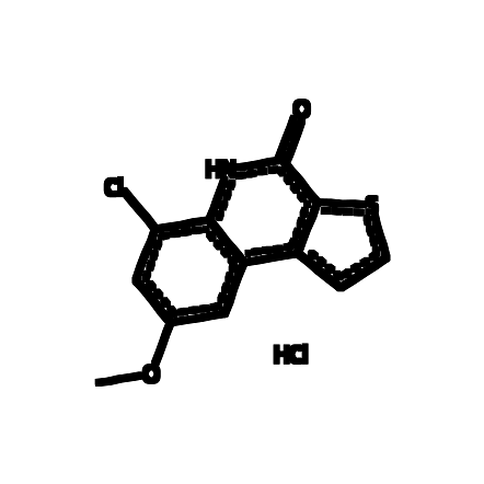 COc1cc(Cl)c2[nH]c(=O)c3sccc3c2c1.Cl